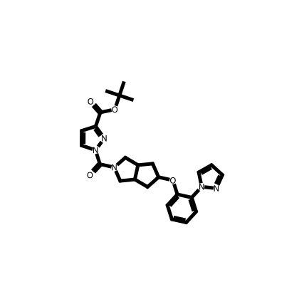 CC(C)(C)OC(=O)c1ccn(C(=O)N2CC3CC(Oc4ccccc4-n4cccn4)CC3C2)n1